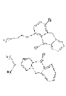 CC(C)c1ccc2c(c1)Cc1ccccc1[S+]2[O-].CCCOc1ccc(Cl)c2c1[S+]([O-])c1ccccc1C2